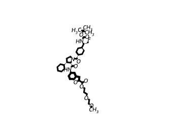 COCCOCCCOC(=O)c1cc2cc(NC(=O)[C@@H]3[C@H](C4CCCCC4)CCN3C(=O)[C@H]3CC[C@H]([C@@H](CF)NC(=O)OC(C)(C)C)CC3)ccc2o1